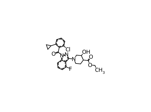 CCOC(=O)C1CCN(c2nn(C(=O)c3c(Cl)cccc3C3CC3)c3cccc(F)c23)CC1O